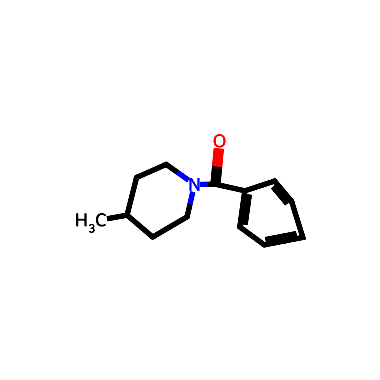 CC1CCN(C(=O)c2ccccc2)CC1